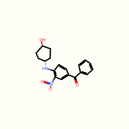 O=C(c1ccccc1)c1ccc(N[C@H]2CC[C@H](O)CC2)c([N+](=O)[O-])c1